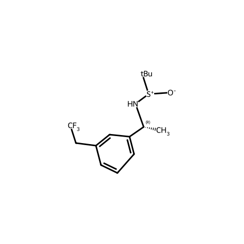 C[C@@H](N[S+]([O-])C(C)(C)C)c1cccc(CC(F)(F)F)c1